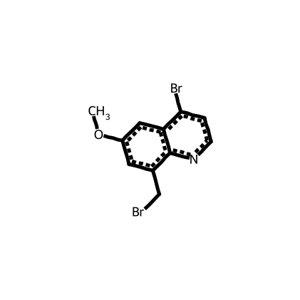 COc1cc(CBr)c2nccc(Br)c2c1